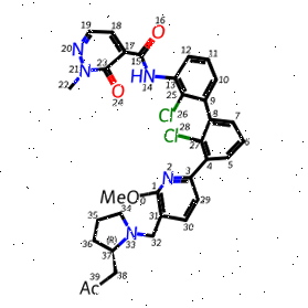 COc1nc(-c2cccc(-c3cccc(NC(=O)c4ccnn(C)c4=O)c3Cl)c2Cl)ccc1CN1CCC[C@@H]1CC(C)=O